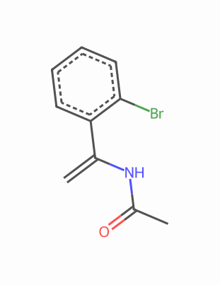 C=C(NC(C)=O)c1ccccc1Br